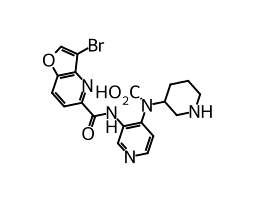 O=C(Nc1cnccc1N(C(=O)O)C1CCCNC1)c1ccc2occ(Br)c2n1